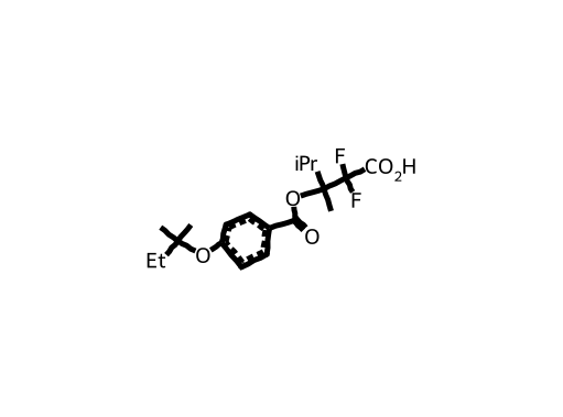 CCC(C)(C)Oc1ccc(C(=O)OC(C)(C(C)C)C(F)(F)C(=O)O)cc1